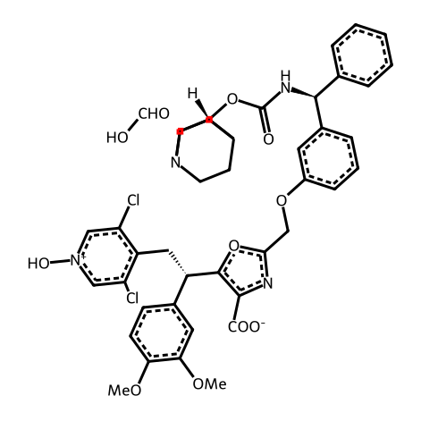 COc1ccc([C@H](Cc2c(Cl)c[n+](O)cc2Cl)c2oc(COc3cccc([C@@H](NC(=O)O[C@H]4CN5CCC4CC5)c4ccccc4)c3)nc2C(=O)[O-])cc1OC.O=CO